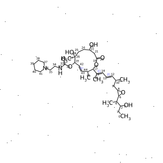 CCC(O)C(C)C1OC1CC(C)/C=C/C=C(\C)C1OC(=O)CC(O)CCC(C)(O)C(OC(=O)NCCN2CCCCC2)/C=C/C1C